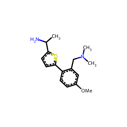 COc1ccc(-c2ccc(C(C)N)s2)c(CN(C)C)c1